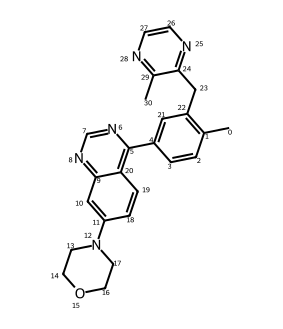 Cc1ccc(-c2ncnc3cc(N4CCOCC4)ccc23)cc1Cc1nccnc1C